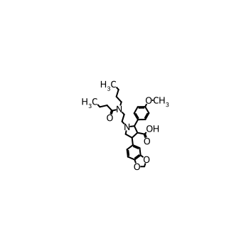 CCCCN(CCN1CC(c2ccc3c(c2)OCO3)C(C(=O)O)C1c1ccc(OC)cc1)C(=O)CCC